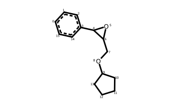 c1ccc(C2OC2COC2CCCC2)cc1